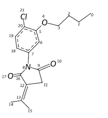 CCCCOc1cc(N2C(=O)CC(=C(C)C)C2=O)ccc1Cl